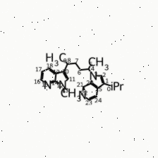 CC(C)c1cn(C(C)CCC(C)c2cn(C)c3ncccc23)c2cnccc12